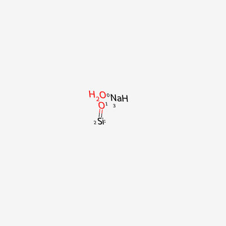 O.O=[Si].[NaH]